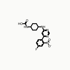 O=C(O)NC1CCC(Nc2cc(-c3ccc(F)cc3[N+](=O)[O-])ncn2)CC1